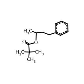 CC(CCc1ccccc1)OC(=O)C(C)(C)C